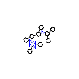 c1ccc(-c2cc(-c3ccccc3)cc(-n3c4ccccc4c4cc(-c5ccc6c7ccccc7n(-c7nc(-c8ccccc8)nc(-c8ccccc8)n7)c6c5)ccc43)c2)cc1